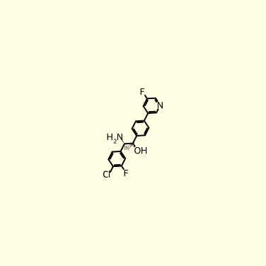 N[C@@H](c1ccc(Cl)c(F)c1)[C@H](O)c1ccc(-c2cncc(F)c2)cc1